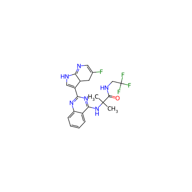 CC(C)(Nc1nc(C2=CNC3=NC=C(F)CC23)nc2ccccc12)C(=O)NCC(F)(F)F